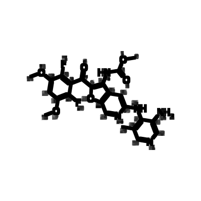 COC(=O)Nc1c(C(=O)c2c(F)c(OC)cc(OC)c2F)oc2cnc(Nc3c(C)cncc3N)cc12